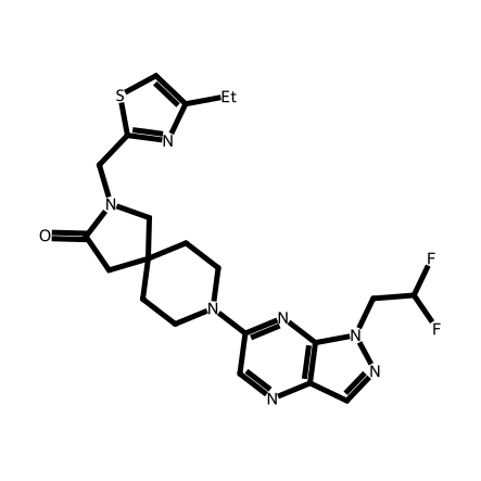 CCc1csc(CN2CC3(CCN(c4cnc5cnn(CC(F)F)c5n4)CC3)CC2=O)n1